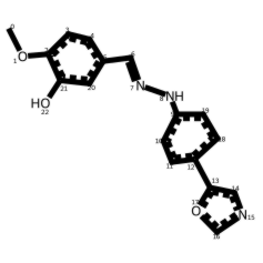 COc1ccc(C=NNc2ccc(-c3cnco3)cc2)cc1O